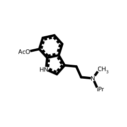 CC(=O)Oc1cccc2c(CCN(C)C(C)C)c[nH]c12